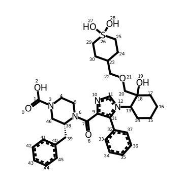 O=C(O)N1CCN(C(=O)c2ncn(C3CCCCC3(O)COCC3CCS(O)(O)CC3)c2-c2ccccc2)[C@H](Cc2ccccc2)C1